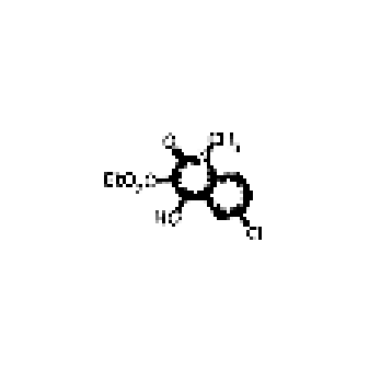 CCOC(=O)c1c(O)c2cc(Cl)ccc2n(C)c1=O